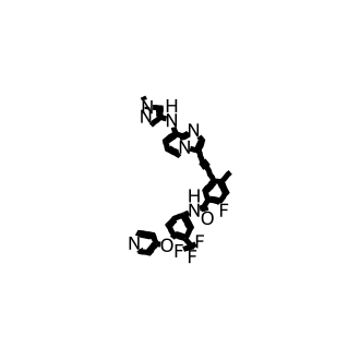 Cc1cc(F)c(C(=O)Nc2ccc(Oc3ccncc3)c(C(F)(F)F)c2)cc1C#Cc1cnc2c(Nc3cnn(C)c3)cccn12